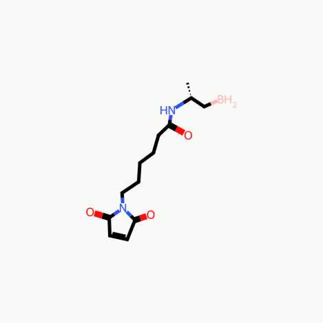 BC[C@@H](C)NC(=O)CCCCCN1C(=O)C=CC1=O